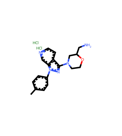 Cc1ccc(-n2nc(N3CCOC(CN)C3)c3ccncc32)cc1.Cl.Cl